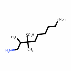 CCCCCCCCCCCCCCC(C)(C(C)CN)S(=O)(=O)O